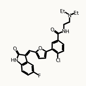 CCN(CC)CCNC(=O)c1ccc(Cl)c(-c2ccc(/C=C3/C(=O)Nc4ccc(F)cc43)o2)c1